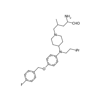 CC(C)CCN(c1ccc(OCc2ccc(F)cc2)cc1)C1CCN(CC(C)CC(N)C=O)CC1